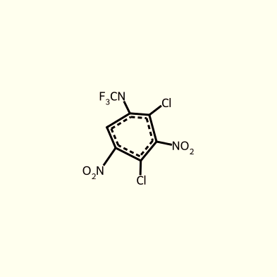 O=[N+]([O-])c1cc(NC(F)(F)F)c(Cl)c([N+](=O)[O-])c1Cl